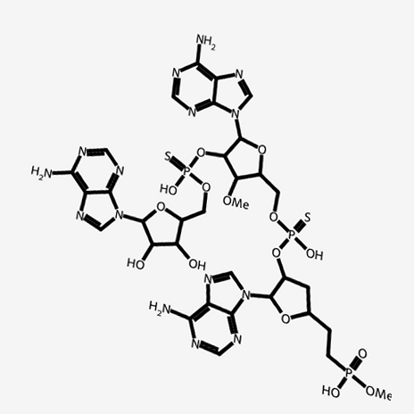 COC1C(COP(O)(=S)OC2CC(CCP(=O)(O)OC)OC2n2cnc3c(N)ncnc32)OC(n2cnc3c(N)ncnc32)C1OP(O)(=S)OCC1OC(n2cnc3c(N)ncnc32)C(O)C1O